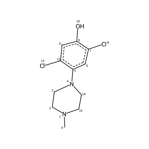 CN1CCN(c2cc(Cl)c(O)cc2Cl)CC1